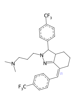 CN(C)CCCN1N=C2/C(=C\c3ccc(C(F)(F)F)cc3)CCCC2C1c1ccc(C(F)(F)F)cc1